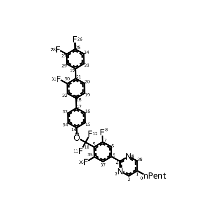 CCCCCc1cnc(-c2cc(F)c(C(F)(F)Oc3ccc(-c4ccc(-c5ccc(F)c(F)c5)c(F)c4)cc3)c(F)c2)nc1